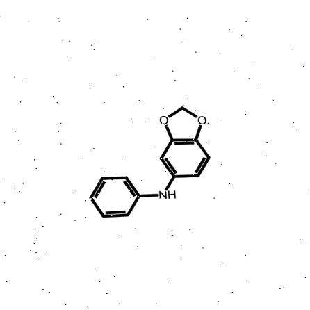 c1ccc(Nc2ccc3c(c2)OCO3)cc1